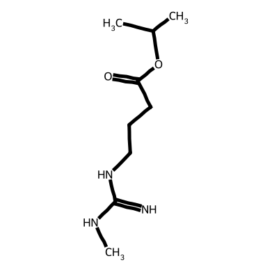 CNC(=N)NCCCC(=O)OC(C)C